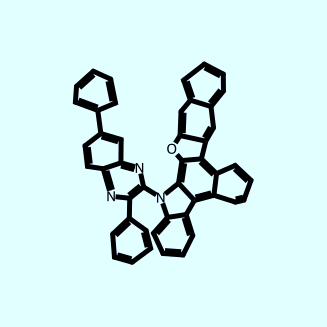 c1ccc(-c2ccc3nc(-c4ccccc4)c(-n4c5ccccc5c5c6ccccc6c6c7cc8ccccc8cc7oc6c54)nc3c2)cc1